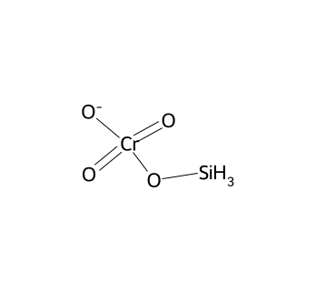 [O]=[Cr](=[O])([O-])[O][SiH3]